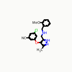 COc1ccccc1CNCc1[nH]nc(C)c1Oc1cc(Cl)cc(C#N)c1